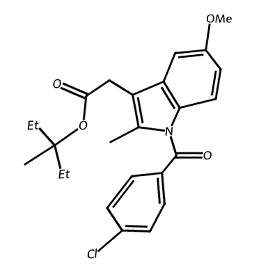 CCC(C)(CC)OC(=O)Cc1c(C)n(C(=O)c2ccc(Cl)cc2)c2ccc(OC)cc12